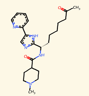 CC(=O)CCCCC[C@H](NC(=O)C1CCN(C)CC1)c1ncc(-c2ccccn2)[nH]1